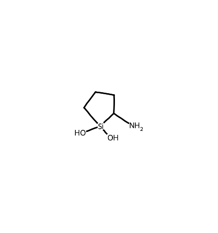 NC1CCC[Si]1(O)O